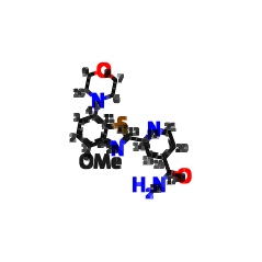 COc1ccc(N2CCOCC2)c2sc(-c3cc(C(N)=O)ccn3)nc12